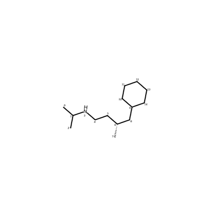 CC(C)NCC[C@@H](C)CC1CCCCC1